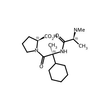 CN[C@@H](C)C(=O)N[C@](C)(C(=O)N1CCC[C@H]1C(=O)O)C1CCCCC1